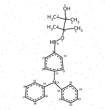 CC(C)(O)C(C)(C)OBc1ccc(N(c2ccccc2)c2ccccc2)cc1